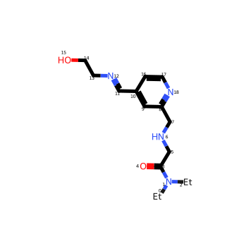 CCN(CC)C(=O)CNCc1cc(/C=N/CCO)ccn1